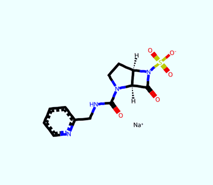 O=C(NCc1ccccn1)N1CC[C@@H]2[C@H]1C(=O)N2S(=O)(=O)[O-].[Na+]